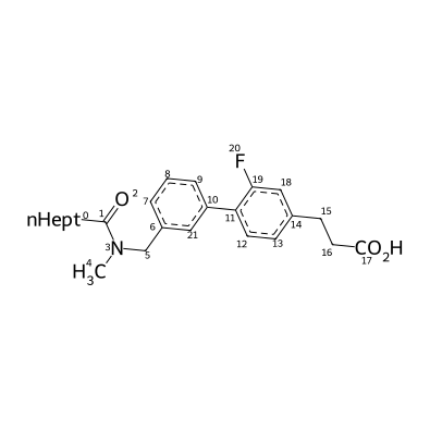 CCCCCCCC(=O)N(C)Cc1cccc(-c2ccc(CCC(=O)O)cc2F)c1